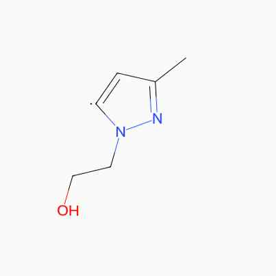 Cc1c[c]n(CCO)n1